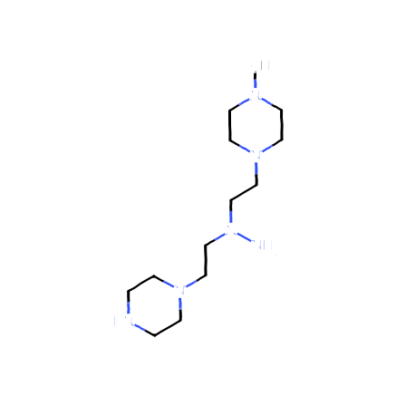 CN1CCN(CCN(N)CCN2CCNCC2)CC1